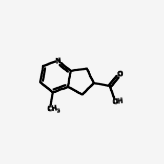 Cc1ccnc2c1CC(C(=O)O)C2